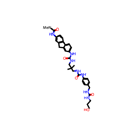 CNC(=O)Nc1ccc2c(c1)Cc1cc(NC(=O)NCC(C)(C)CNC(=O)Nc3ccc(CNC(=O)NCCCO)cc3)ccc1-2